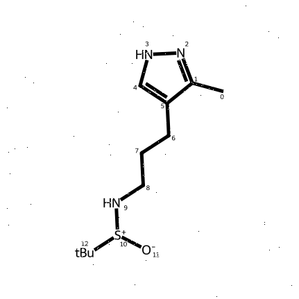 Cc1n[nH]cc1CCCN[S+]([O-])C(C)(C)C